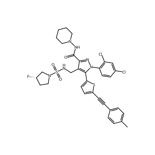 Cc1ccc(C#Cc2ccc(-c3c(CNS(=O)(=O)N4CC[C@H](F)C4)c(C(=O)NN4CCCCC4)nn3-c3ccc(Cl)cc3Cl)s2)cc1